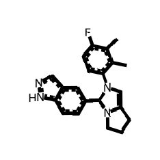 Cc1c(F)ccc(N2C=C3CCCN3C2c2ccc3[nH]ncc3c2)c1C